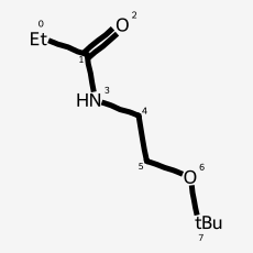 CCC(=O)NCCOC(C)(C)C